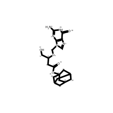 Nc1nc2c(ncn2COC(CO)CC(=O)OC23CC4CC(CC(C4)C2)C3)c(=O)[nH]1